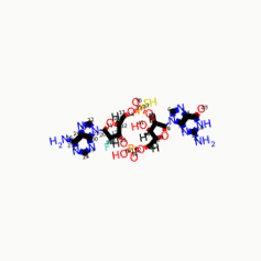 Nc1nc2c(ncn2[C@@H]2O[C@@H]3COP(=O)(O)O[C@H]4[C@@H](F)[C@H](n5cnc6c(N)ncnc65)O[C@@H]4COP(=O)(S)O[C@@H]2[C@@H]3O)c(=O)[nH]1